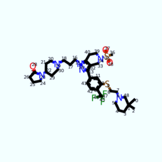 CC1(C)CCCN(CCSc2cc(-c3nn(CCCN4CCC(N5CCCC5=O)CC4)c4c3CN(S(C)(=O)=O)CC4)ccc2C(F)(F)F)C1